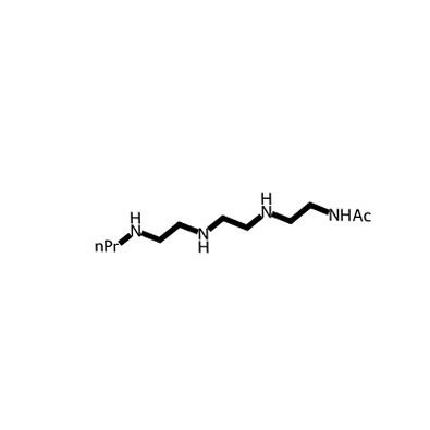 CCCNCCNCCNCCNC(C)=O